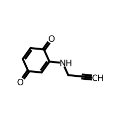 C#CCNC1=CC(=O)C=CC1=O